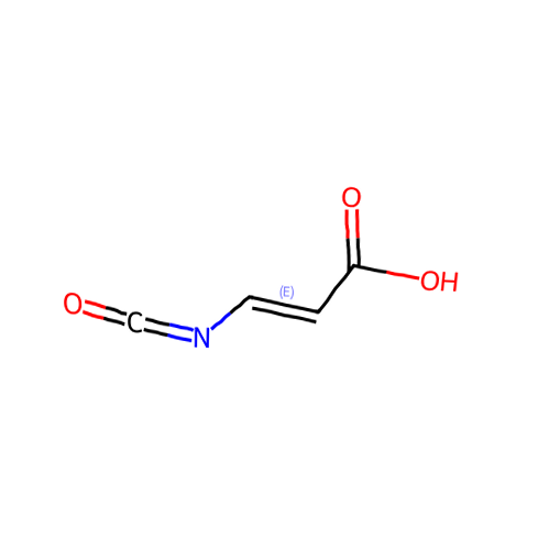 O=C=N/C=C/C(=O)O